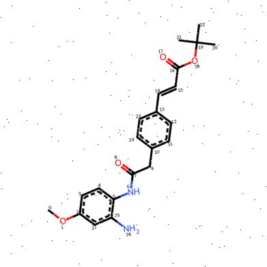 COc1ccc(NC(=O)Cc2ccc(/C=C/C(=O)OC(C)(C)C)cc2)c(N)c1